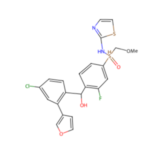 COC[SH](=O)(Nc1nccs1)c1ccc(C(O)c2ccc(Cl)cc2-c2ccoc2)c(F)c1